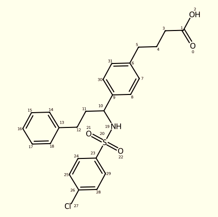 O=C(O)CCCc1ccc(C(CCc2ccccc2)NS(=O)(=O)c2ccc(Cl)cc2)cc1